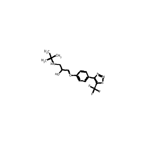 CC(C)(C)NCC(O)COc1ccc(-c2nnsc2C(F)(F)F)cc1